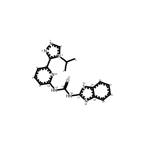 CC(C)n1cnnc1-c1cccc(NC(=O)Nc2nc3ccccc3s2)n1